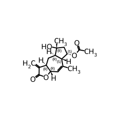 C=C1C(=O)O[C@H]2C=C(C)[C@H]3[C@@H](OC(C)=O)C[C@@](C)(O)[C@@H]3C[C@H]12